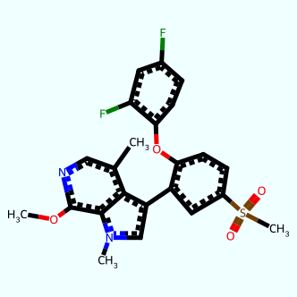 COc1ncc(C)c2c(-c3cc(S(C)(=O)=O)ccc3Oc3ccc(F)cc3F)cn(C)c12